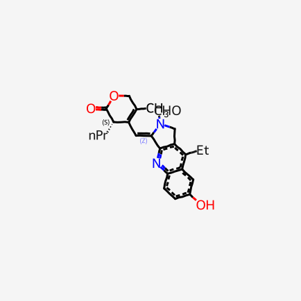 CCC[C@@H]1C(=O)OCC(C)=C1/C=C1/c2nc3ccc(O)cc3c(CC)c2CN1C=O